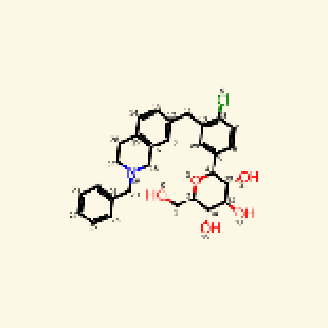 OC[C@H]1O[C@@H](c2ccc(Cl)c(Cc3ccc4c(c3)CN(Cc3ccccc3)CC4)c2)[C@H](O)[C@@H](O)[C@@H]1O